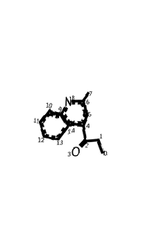 CCC(=O)c1cc(C)nc2ccccc12